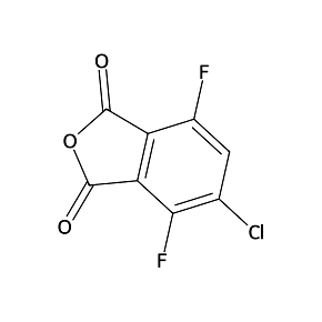 O=C1OC(=O)c2c(F)c(Cl)cc(F)c21